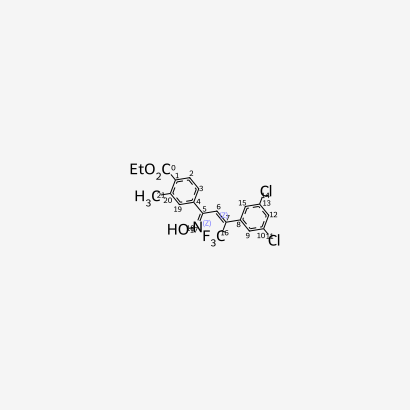 CCOC(=O)c1ccc(C(/C=C(/c2cc(Cl)cc(Cl)c2)C(F)(F)F)=N\O)cc1C